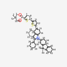 CC1(C)COC(C2=CCC(c3ccc(-c4ccc5c6c4CCCc6c(-c4ccccc4)n5-c4ccc5c(c4)C(C)(C)c4ccccc4-5)s3)S2)OC1